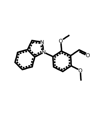 COc1ccc(-n2ncc3ccccc32)c(OC)c1C=O